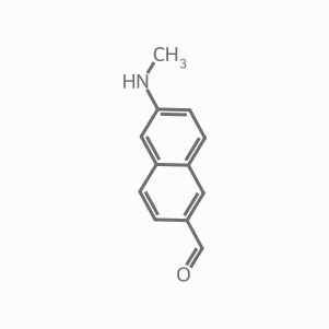 CNc1ccc2cc(C=O)ccc2c1